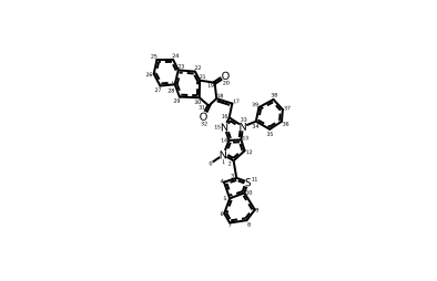 Cn1c(-c2cc3ccccc3s2)cc2c1nc(C=C1C(=O)c3cc4ccccc4cc3C1=O)n2-c1ccccc1